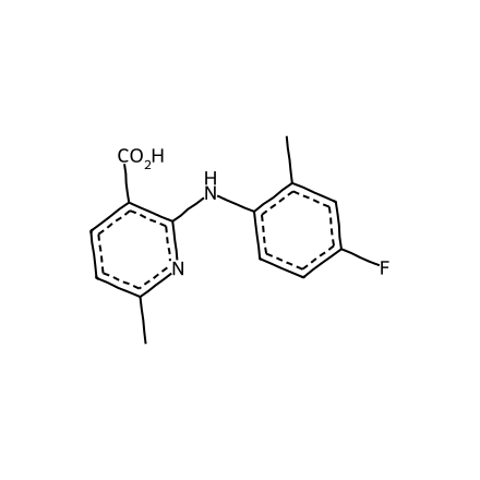 Cc1ccc(C(=O)O)c(Nc2ccc(F)cc2C)n1